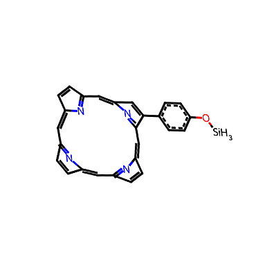 [SiH3]Oc1ccc(C2=CC3=CC4=NC(=CC5=NC(=CC6=NC(=CC2=N3)C=C6)C=C5)C=C4)cc1